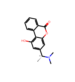 C[C@H](c1cc(O)c2c(c1)oc(=O)c1ccccc12)N(C)C